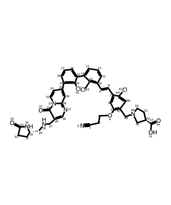 N#CCCOc1cc(/C=C/c2cccc(-c3cccc(-c4ccn5c(=O)c(CNC[C@@H]6CCC(=O)N6)cnc5c4)c3Cl)c2Cl)c(Cl)cc1CN1CC[C@@H](C(=O)O)C1